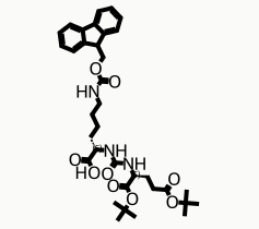 CC(C)(C)OC(=O)CC[C@H](NC(=O)N[C@@H](CCCCNC(=O)OCC1c2ccccc2-c2ccccc21)C(=O)O)C(=O)OC(C)(C)C